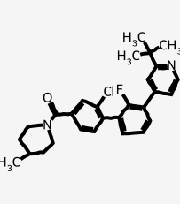 CC1CCN(C(=O)c2ccc(-c3cccc(-c4ccnc(C(C)(C)C)c4)c3F)c(Cl)c2)CC1